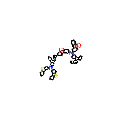 c1ccc2c(c1)-c1cc(N(c3ccc4oc5ccccc5c4c3)c3ccc4oc5cc(C6C7CC8CC6CC(C7)C86c7ccccc7-c7cc(N(c8ccc9sc%10ccccc%10c9c8)c8ccc9sc%10ccccc%10c9c8)ccc76)ccc5c4c3)ccc1C21C2CC3CC(C2)CC1C3